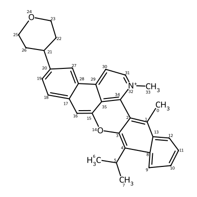 Cc1c2c(c(C(C)C)c3ccccc13)Oc1cc3ccc(C4CCOCC4)cc3c3cc[n+](C)c-2c13